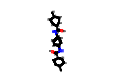 C[C@H]1CC[C@H](C(=O)Nc2ccc(NC(=O)[C@H]3CC[C@H](C)CC3)cc2)CC1